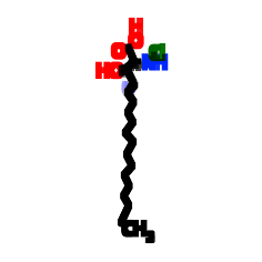 CCCCCCCCCCCCC/C=C/[C@@H](O)[C@@H](NCl)C(=O)O